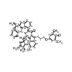 Cc1cc(OCCCc2c3n(c4c(-c5c(C)nn(C)c5C)c(Cl)ccc24)C(C)CN(c2cccc4cc(C(N)=O)n(Cc5ccccn5)c24)C3=O)cc(C)c1Cl